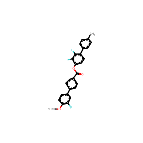 CCCCCCOc1ccc(-c2ccc(C(=O)Oc3ccc(-c4ccc(C)cc4)c(F)c3F)cc2)cc1F